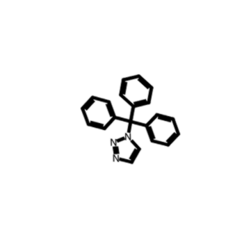 c1ccc(C(c2ccccc2)(c2ccccc2)n2ccnn2)cc1